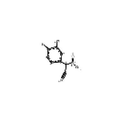 N#CC(c1ccc(F)c(Cl)c1)[N+](=O)[O-]